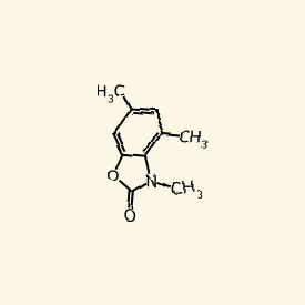 Cc1cc(C)c2c(c1)oc(=O)n2C